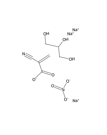 C=C(C#N)C(=O)[O-].O=[Si]([O-])[O-].OCC(O)CO.[Na+].[Na+].[Na+]